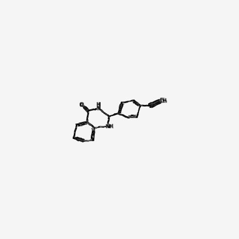 C#Cc1ccc(C2NC(=O)c3ccccc3N2)cc1